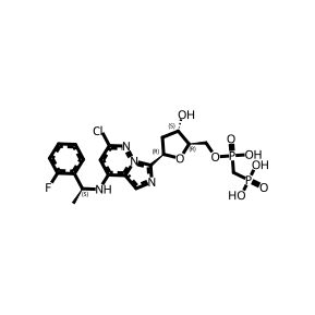 C[C@H](Nc1cc(Cl)nn2c([C@H]3C[C@H](O)[C@@H](COP(=O)(O)CP(=O)(O)O)O3)ncc12)c1ccccc1F